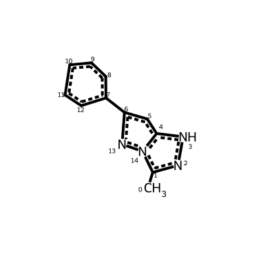 Cc1n[nH]c2cc(-c3ccccc3)nn12